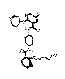 O=C(N[C@H]1CC[C@@H](NC(=O)c2cc(F)cnc2OC2CCSCC2)CC1)c1ccccc1OCCCO